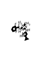 Cc1nc(Nc2cc(C3CC3)[nH]n2)nc(NC(C)c2c(F)cccc2F)n1